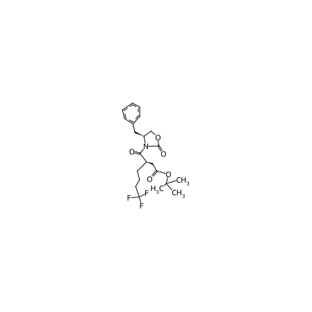 CC(C)(C)OC(=O)C[C@@H](CCCC(F)(F)F)C(=O)N1C(=O)OC[C@@H]1Cc1ccccc1